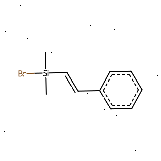 C[Si](C)(Br)C=Cc1ccccc1